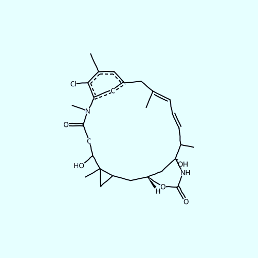 C/C1=C\C=C\C(C)[C@@]2(O)C[C@@H](CC3CC3(C)C(O)CC(=O)N(C)c3cc(cc(C)c3Cl)C1)OC(=O)N2